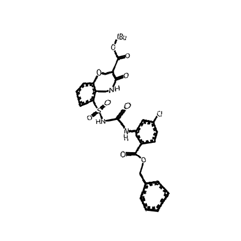 CC(C)(C)OC(=O)C1Oc2cccc(S(=O)(=O)NC(=O)Nc3cc(Cl)ccc3C(=O)OCc3ccccc3)c2NC1=O